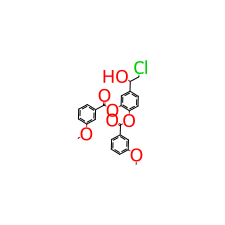 COc1cccc(C(=O)Oc2ccc(C(O)CCl)cc2OC(=O)c2cccc(OC)c2)c1